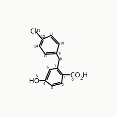 O=C(O)c1ccc(O)cc1Cc1ccc(Cl)cc1